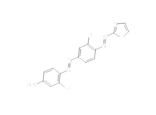 Cc1cc(N)ccc1/N=N/c1ccc(/N=N/c2nccs2)c(C)c1